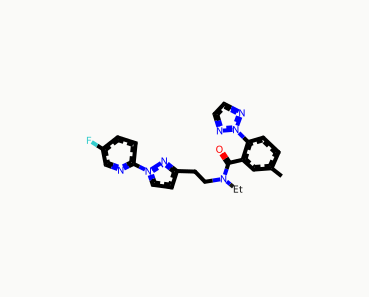 CCN(CCc1ccn(-c2ccc(F)cn2)n1)C(=O)c1cc(C)ccc1-n1nccn1